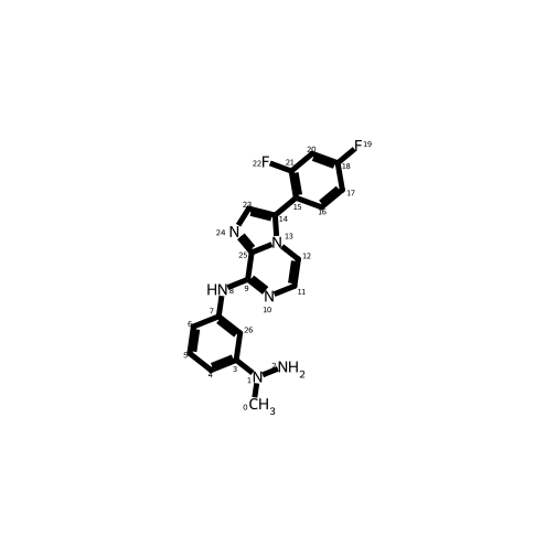 CN(N)c1cccc(Nc2nccn3c(-c4ccc(F)cc4F)cnc23)c1